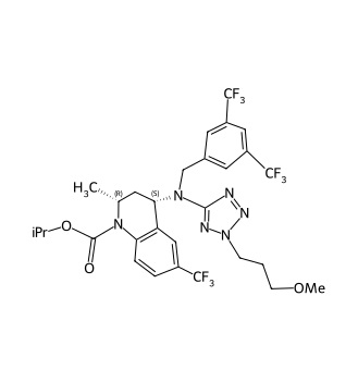 COCCCn1nnc(N(Cc2cc(C(F)(F)F)cc(C(F)(F)F)c2)[C@H]2C[C@@H](C)N(C(=O)OC(C)C)c3ccc(C(F)(F)F)cc32)n1